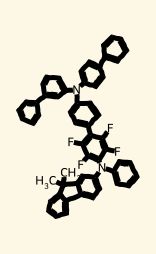 CC1(C)c2ccccc2-c2ccc(N(c3ccccc3)c3c(F)c(F)c(-c4ccc(N(c5ccc(-c6ccccc6)cc5)c5cccc(-c6ccccc6)c5)cc4)c(F)c3F)cc21